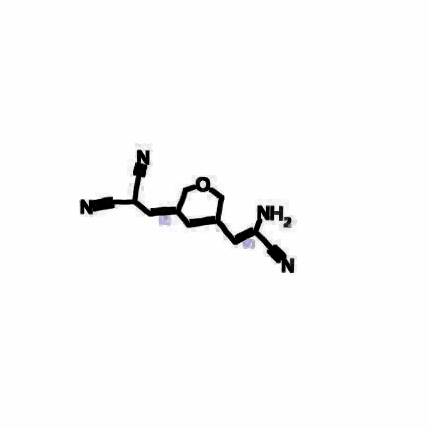 N#C/C(N)=C/C1=CC(=C/C(C#N)C#N)/COC1